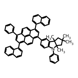 CC1(C)CC2(C)c3cc(-c4cc(-c5cccc6ccccc56)c5ccc6c(-c7ccccc7)cc(-c7cccc8ccccc78)c7ccc4c5c67)ccc3N(c3ccccc3)C2(C)C1